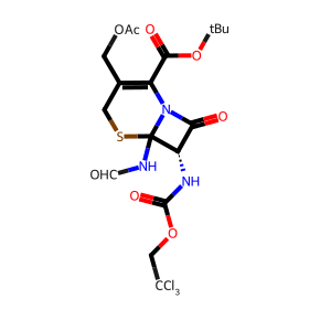 CC(=O)OCC1=C(C(=O)OC(C)(C)C)N2C(=O)[C@H](NC(=O)OCC(Cl)(Cl)Cl)C2(NC=O)SC1